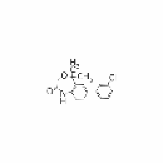 CC1(C)OCC(=O)Nc2ccc(-c3cccc(Cl)c3)cc21